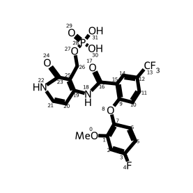 COc1cc(F)ccc1Oc1ccc(C(F)(F)F)cc1C(=O)Nc1cc[nH]c(=O)c1COP(=O)(O)O